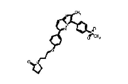 Cc1nc2ccc(-c3ccc(OCCCN4CCCC4=O)cc3)nn2c1-c1ccc(S(C)(=O)=O)cc1